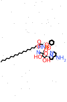 CCCCCCCCCCCCCCCCCCOC(=O)[C@H](C)NP(=O)(OC[C@@]1(C#N)O[C@@H](c2ccc3c(N)ccnn23)[C@H](O)[C@@H]1O)Oc1ccccc1